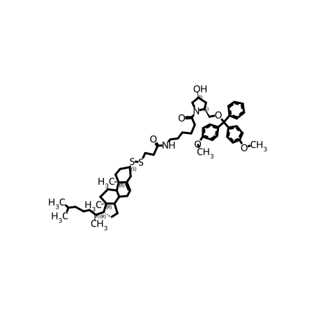 COc1ccc(C(OC[C@@H]2C[C@@H](O)CN2C(=O)CCCCCNC(=O)CCSS[C@H]2CC[C@@]3(C)C(=CCC4C3CC[C@@]3(C)C4CC[C@@H]3[C@H](C)CCCC(C)C)C2)(c2ccccc2)c2ccc(OC)cc2)cc1